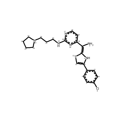 N/C(=C1\NC(c2ccc(Cl)cc2)=CS1)c1ccnc(NCCCN2CCCC2)n1